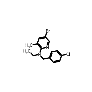 [CH2]CN(Cc1ccc(Cl)cc1)c1ncc(Br)cc1C